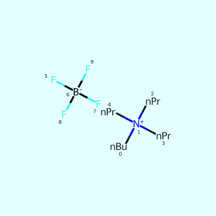 CCCC[N+](CCC)(CCC)CCC.F[B-](F)(F)F